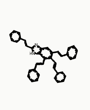 C(=Cc1nc2cc(C=Cc3ccccc3)c(C=Cc3ccccc3)c(C=Cc3ccccc3)c2[nH]1)c1ccccc1